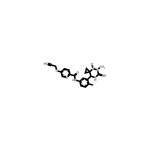 C#CCOc1ccc(C(=O)Nc2ccc(F)c(C3NC(=N)N(C)[S+]([O-])C34CC4)c2)nc1